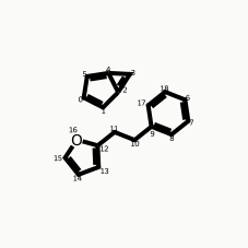 c1cc2cc-2c1.c1ccc(CCc2ccco2)cc1